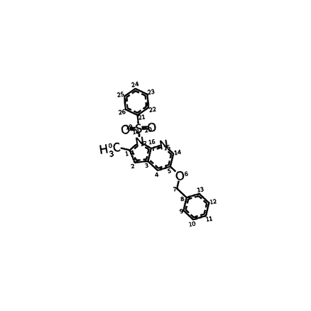 Cc1cc2cc(OCc3ccccc3)cnc2n1S(=O)(=O)c1ccccc1